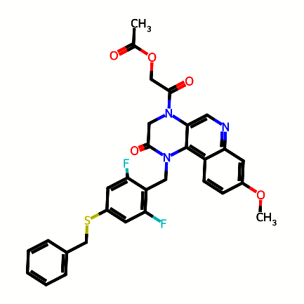 COc1ccc2c3c(cnc2c1)N(C(=O)COC(C)=O)CC(=O)N3Cc1c(F)cc(SCc2ccccc2)cc1F